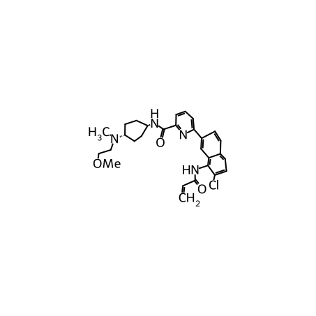 C=CC(=O)Nc1c(Cl)ccc2ccc(-c3cccc(C(=O)N[C@H]4CC[C@@H](N(C)CCOC)CC4)n3)cc12